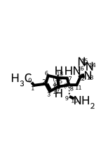 CCC1=C[C@H]2[C@@H](C1)C[C@@]2(CN)Cc1nnn[nH]1